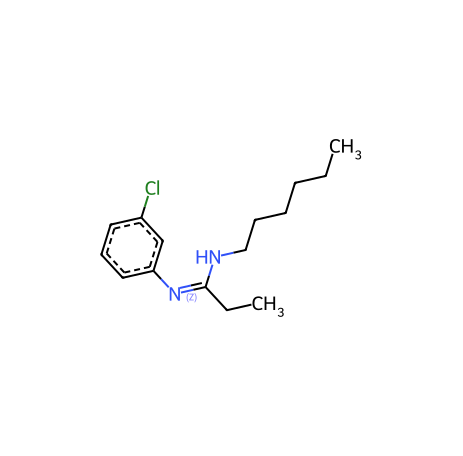 CCCCCCN/C(CC)=N\c1cccc(Cl)c1